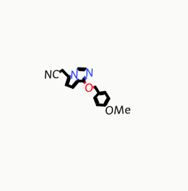 COc1ccc(COc2nccn3c(CC#N)ccc23)cc1